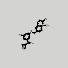 Cn1c(=O)ccc2cc(COc3cc(F)cc(C(=O)C4COC4)c3)ccc21